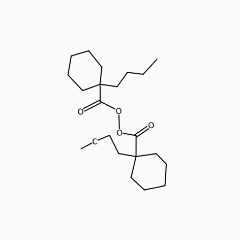 CCCCC1(C(=O)OOC(=O)C2(CCCC)CCCCC2)CCCCC1